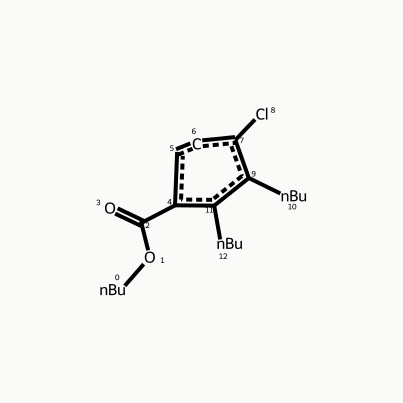 CCCCOC(=O)c1ccc(Cl)c(CCCC)c1CCCC